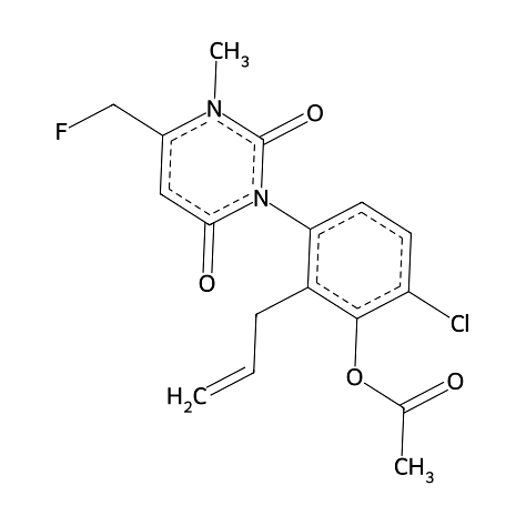 C=CCc1c(-n2c(=O)cc(CF)n(C)c2=O)ccc(Cl)c1OC(C)=O